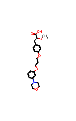 CO[C@@H](Cc1ccc(OCCCOc2cccc(N3CCOCC3)c2)cc1)C(=O)O